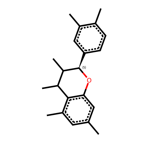 Cc1cc(C)c2c(c1)O[C@H](c1ccc(C)c(C)c1)C(C)C2C